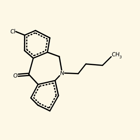 CCCCN1Cc2ccc(Cl)cc2C(=O)c2ccccc21